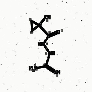 N#CC1(C(=O)NNC(=N)N)CC1